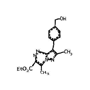 CCOC(=O)c1nnc2c(-c3ccc(CO)cc3)c(C)nn2c1C